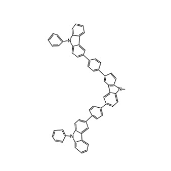 Cn1c2ccc(-c3ccc(-c4ccc5c(c4)c4ccccc4n5-c4ccccc4)cc3)cc2c2cc(-c3ccc(-c4ccc5c(c4)c4ccccc4n5-c4ccccc4)cc3)ccc21